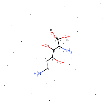 NCCC(O)C(O)C(N)C(=O)O